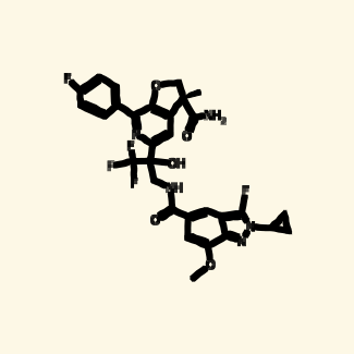 COc1cc(C(=O)NCC(O)(c2cc3c(c(-c4ccc(F)cc4)n2)OC[C@]3(C)C(N)=O)C(F)(F)F)cc2c(F)n(C3CC3)nc12